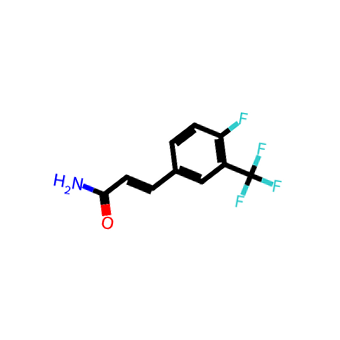 NC(=O)C=Cc1ccc(F)c(C(F)(F)F)c1